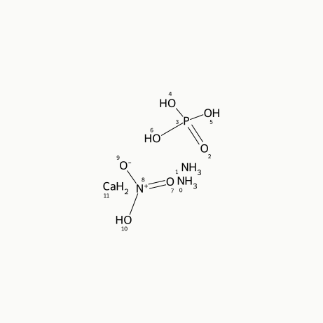 N.N.O=P(O)(O)O.O=[N+]([O-])O.[CaH2]